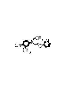 [C-]#[N+]c1ccc(N(CCOc2cccnc2)CC(F)(F)F)cc1C(F)(F)F